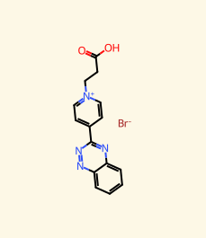 O=C(O)CC[n+]1ccc(-c2nnc3ccccc3n2)cc1.[Br-]